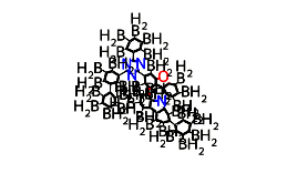 Bc1c(B)c(B)c(-c2nc(-c3c(B)c(B)c(B)c(-c4c(B)c(B)c(B)c(B)c4B)c3B)nc(-c3c(B)c(B)c4c(oc5c(B)c(B)c(B)c(-n6c7c(B)c(B)c(B)c(B)c7c7c(B)c(B)c(-c8c(B)c(B)c(B)c(B)c8B)c(B)c76)c54)c3B)n2)c(B)c1B